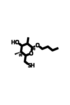 CCCCO[C@@H]1OC(CS)[C@H](C)C(O)C1C